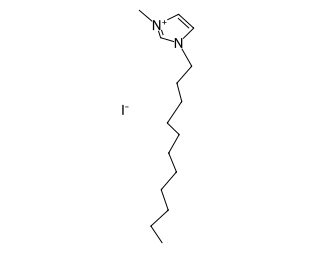 CCCCCCCCCCCn1cc[n+](C)c1.[I-]